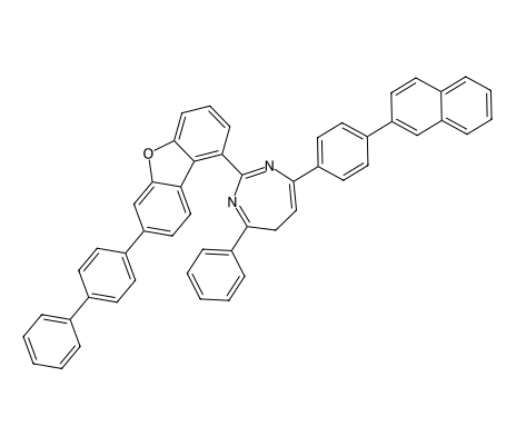 C1=C(c2ccc(-c3ccc4ccccc4c3)cc2)N=C(c2cccc3oc4cc(-c5ccc(-c6ccccc6)cc5)ccc4c23)N=C(c2ccccc2)C1